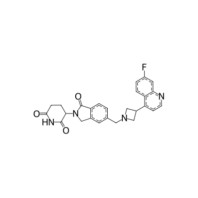 O=C1CCC(N2Cc3cc(CN4CC(c5ccnc6cc(F)ccc56)C4)ccc3C2=O)C(=O)N1